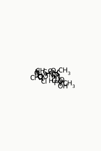 CCc1cn([C@@H]2O[C@H](C)[C@@H](O)[C@H]2F)c(=O)n(NC(=O)C(C)Oc2cc(OC)c(Cl)cc2Cl)c1=O